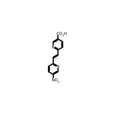 O=C(O)c1ccc(/C=C/c2ccc([N+](=O)[O-])cn2)nc1